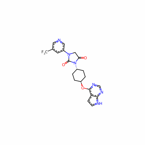 O=C1CN(c2cncc(C(F)(F)F)c2)C(=O)N1[C@H]1CC[C@H](Oc2ncnc3[nH]ccc23)CC1